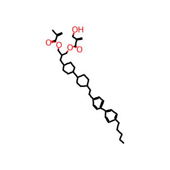 C=C(C)C(=O)OCC(COC(=O)C(=C)CO)CC1CCC(C2CCC(CCc3ccc(-c4ccc(CCCCC)cc4)cc3)CC2)CC1